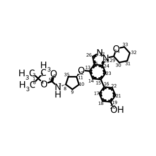 CC(C)(C)OC(=O)N[C@H]1CC[C@H](Oc2cc(-c3ccc(O)cc3)cc3c2cnn3C2CCCCO2)C1